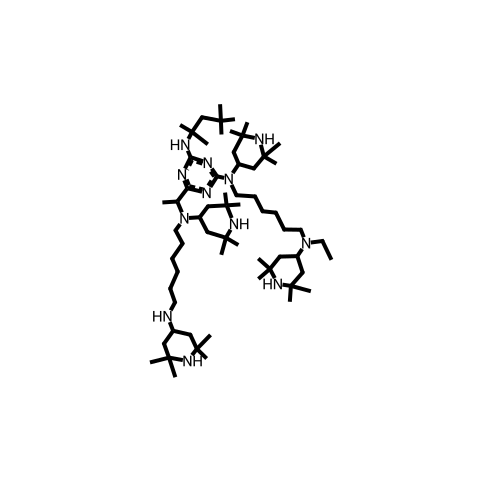 CCN(CCCCCCN(c1nc(NC(C)(C)CC(C)(C)C)nc(C(C)N(CCCCCCNC2CC(C)(C)NC(C)(C)C2)C2CC(C)(C)NC(C)(C)C2)n1)C1CC(C)(C)NC(C)(C)C1)C1CC(C)(C)NC(C)(C)C1